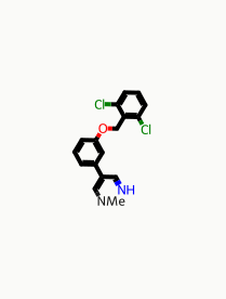 CN/C=C(\C=N)c1cccc(OCc2c(Cl)cccc2Cl)c1